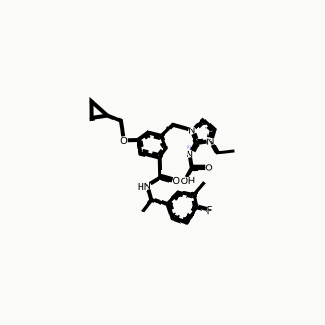 CCn1ccn(Cc2cc(OCC3CC3)cc(C(=O)NC(C)c3ccc(F)c(C)c3)c2)/c1=N/C(=O)O